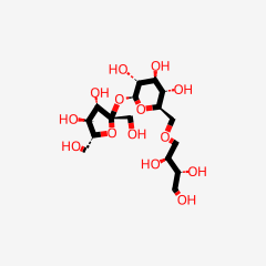 OC[C@@H](O)[C@@H](O)COC[C@H]1O[C@H](O[C@]2(CO)O[C@H](CO)[C@@H](O)[C@@H]2O)[C@H](O)[C@@H](O)[C@@H]1O